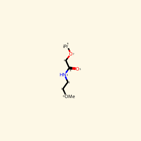 COCCNC(=O)COC(C)C